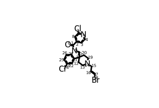 O=C(c1ccnc(Cl)c1)N1CC2(CCN(CC=CBr)CC2)c2cc(Cl)ccc21